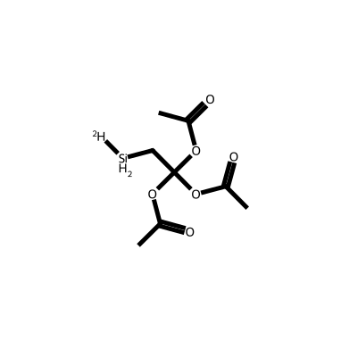 [2H][SiH2]CC(OC(C)=O)(OC(C)=O)OC(C)=O